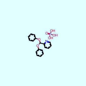 O=P(O)(O)O.c1ccc(OC(Oc2ccccc2)c2ccccn2)cc1